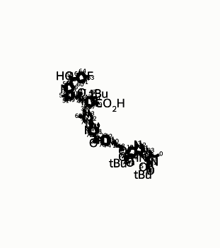 Cc1nn(C(=O)OC(C)(C)C)c(Nc2ncnc3cc(OCCCN4CCN(C(=O)c5cnc(N6CCN(C[C@H]7CN(C(=O)O)[C@](C)(C(C)(C)C)CN7CC(=O)N7CC(C)(C)c8ncc(C(O)c9ccc(F)cc9)cc87)C(C)C6)nc5)CC4)c(S(=O)(=O)C(C)(C)C)cc23)c1C